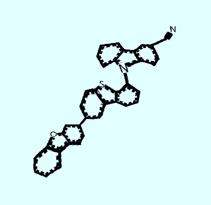 N#Cc1ccc2c(c1)c1ccccc1n2-c1cccc2c1sc1ccc(-c3ccc4c(c3)oc3ccccc34)cc12